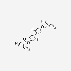 C=C(C)COc1ccc(-c2ccc(OC(=O)C(=C)C)cc2F)c(F)c1